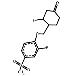 CS(=O)(=O)c1ccc(OCC2CCC(=O)CC2F)c(F)c1